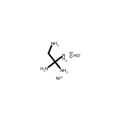 NCC(N)(N)N.[Ni+2].[OH-].[OH-]